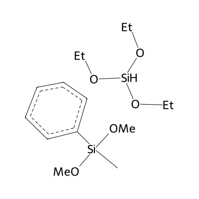 CCO[SiH](OCC)OCC.CO[Si](C)(OC)c1ccccc1